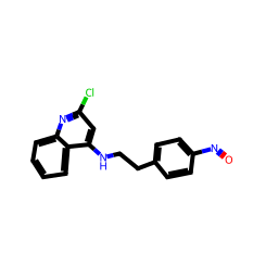 O=Nc1ccc(CCNc2cc(Cl)nc3ccccc23)cc1